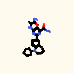 C[C@H](Nc1cc(C(N)=O)nc(-c2ccc3c(c2)CCCCN3C2CCCCC2)n1)C(N)=O